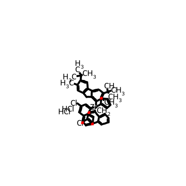 Cl.Cl.[CH2]=[Zr]([C]1=CC=CC1)([c]1c(C)c(C(C)(C)C)cc2c1Cc1cc(C)c(C(C)(C)C)cc1-2)([c]1cc(Cl)cc2ccccc12)[c]1cc(Cl)cc2ccccc12